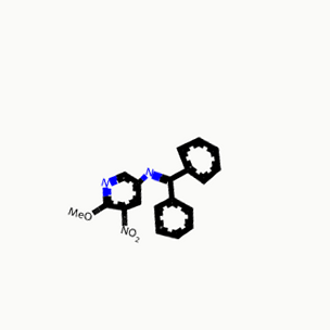 COc1n[c]c(N=C(c2ccccc2)c2ccccc2)cc1[N+](=O)[O-]